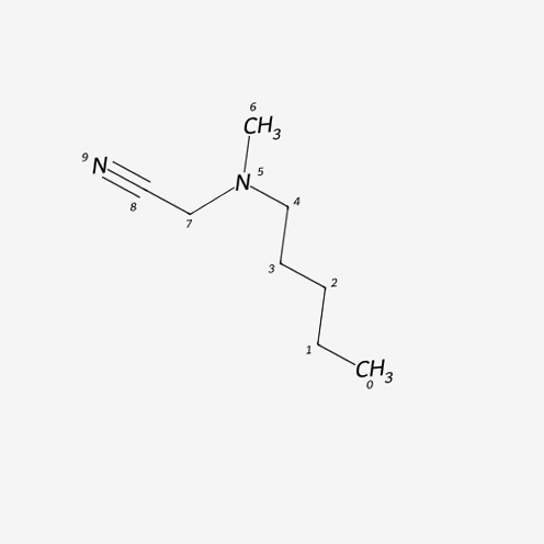 CCCCCN(C)CC#N